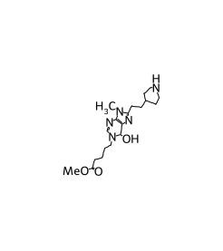 COC(=O)CCCCN1C=Nc2c(nc(CCC3CCNCC3)n2C)C1O